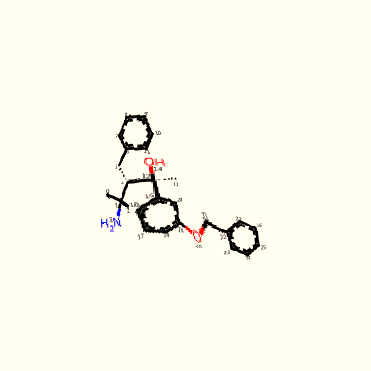 CC(C)(N)[C@H](Cc1ccccc1)[C@@](C)(O)c1cccc(OCc2ccccc2)c1